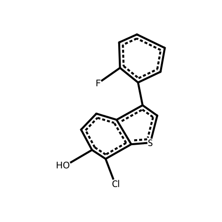 Oc1ccc2c(-c3ccccc3F)csc2c1Cl